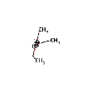 CCCCCC/C=C\CCCCCCCCCC(=O)OC[C@H](COC(=O)CCCCCCCCCCCCC)OC(=O)CCCCCCCCCCCCCCC